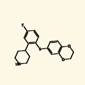 Fc1ccc(Sc2ccc3c(c2)OCCO3)c(C2CCNCC2)c1